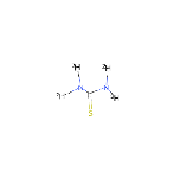 [2H]N([2H])C(=S)N([2H])[2H]